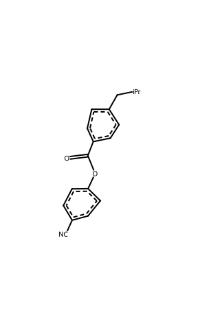 CC(C)Cc1ccc(C(=O)Oc2ccc(C#N)cc2)cc1